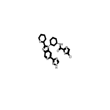 O=C(N[C@H]1CCC[C@@H](n2c(C3CCCCO3)nc3cnc(-c4nc[nH]n4)cc32)C1)c1ncc(Cl)s1